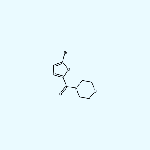 O=C(c1ccc(Br)o1)N1CCOCC1